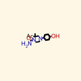 CC(=O)C1(C)CN(c2ccc(O)cc2)CCN1C(N)=O